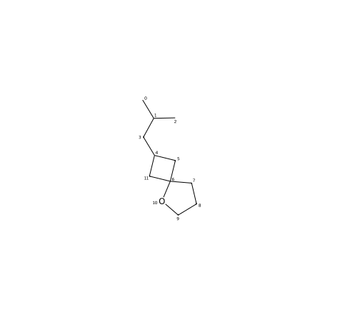 CC(C)CC1CC2(CCCO2)C1